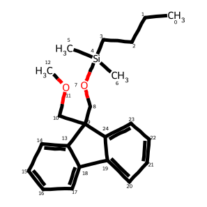 CCCC[Si](C)(C)OCC1(COC)c2ccccc2-c2ccccc21